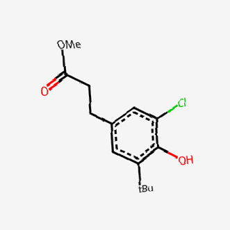 COC(=O)CCc1cc(Cl)c(O)c(C(C)(C)C)c1